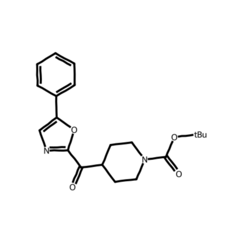 CC(C)(C)OC(=O)N1CCC(C(=O)c2ncc(-c3ccccc3)o2)CC1